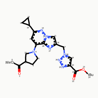 COC(=O)C1CCN(c2cc(C3CC3)nn3cc(Cn4cc(C(=O)OC(C)(C)C)nn4)nc23)C1